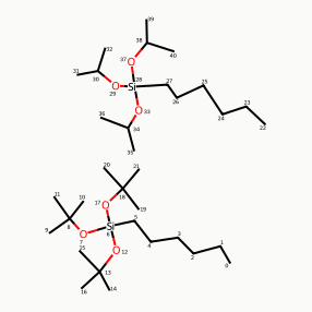 CCCCCC[Si](OC(C)(C)C)(OC(C)(C)C)OC(C)(C)C.CCCCCC[Si](OC(C)C)(OC(C)C)OC(C)C